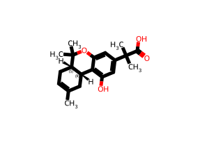 CC1=CC[C@H]2[C@@H](C1)c1c(O)cc(C(C)(C)C(=O)O)cc1OC2(C)C